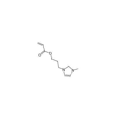 C=CC(=O)OCCCN1C=CN(C)C1